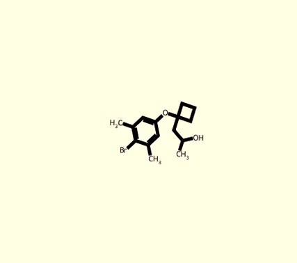 Cc1cc(OC2(CC(C)O)CCC2)cc(C)c1Br